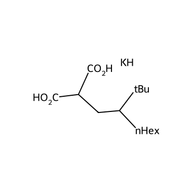 CCCCCCC(CC(C(=O)O)C(=O)O)C(C)(C)C.[KH]